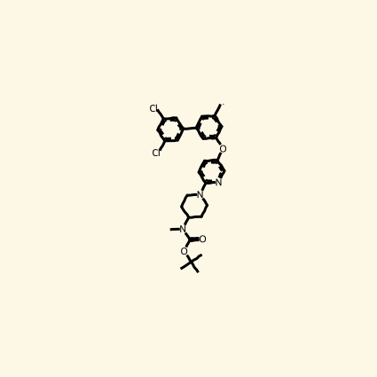 [CH2]c1cc(Oc2ccc(N3CCC(N(C)C(=O)OC(C)(C)C)CC3)nc2)cc(-c2cc(Cl)cc(Cl)c2)c1